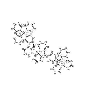 c1ccc(C2(c3ccc4c(c3)c3ccccc3n4-c3cccc4c3c3ccccc3n4-c3ccc(S(c4ccccc4)(c4ccccc4)c4ccccc4)cc3)c3ccccc3-c3ccccc32)cc1